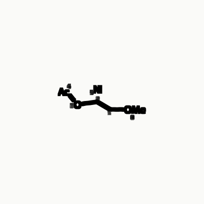 COCCOC(C)=O.[Ni]